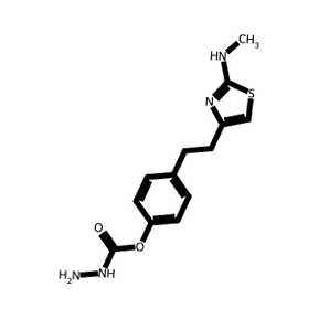 CNc1nc(CCc2ccc(OC(=O)NN)cc2)cs1